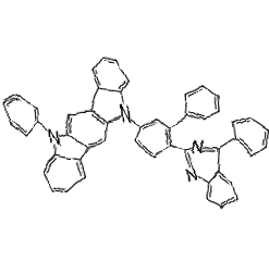 c1ccc(-c2cc(-n3c4ccccc4c4cc5c(cc43)c3ccccc3n5-c3ccccc3)ccc2-c2nc(-c3ccccc3)c3ccccc3n2)cc1